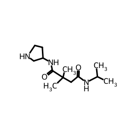 CC(C)NC(=O)CC(C)(C)C(=O)NC1CCNC1